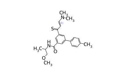 COCC(C)NC(=O)c1cc(C(=S)/C=C/N(C)C)cc(-c2ccc(C)cc2)c1